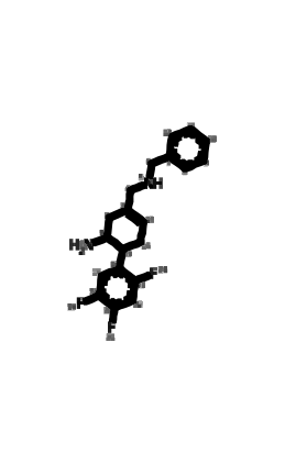 NC1CC(CNCc2ccccc2)=CCC1c1cc(F)c(F)cc1F